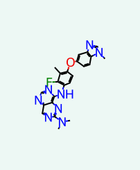 Cc1c(Oc2ccc3c(c2)ncn3C)ccc(Nc2ncnc3cnc(N(C)C)nc23)c1F